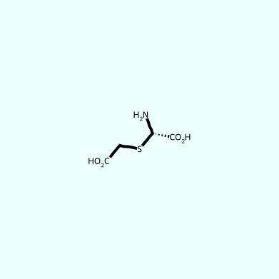 N[C@@H](SCC(=O)O)C(=O)O